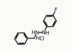 Cl.Fc1ccc(NNCc2ccccc2)cc1